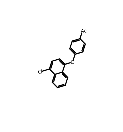 CC(=O)c1ccc(Oc2ccc(Cl)c3ccccc23)cc1